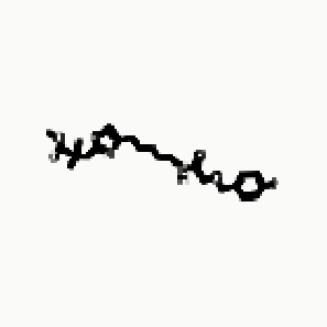 COC(=O)C(C)(C)Cc1nc(CCCCCNC(=O)COCc2ccc(F)cc2)cs1